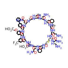 CC(C)C[C@H]1NC(=O)[C@H](C)N(C)C(=O)[C@H](CCC(N)=O)NC(=O)[C@H](Cc2ccc(-c3ccccc3)cc2)NC(=O)[C@H](Cc2ccc(OCC(=O)O)cc2)NC(=O)[C@H](Cc2cccc(C(F)(F)F)c2)NC(=O)[C@H](CC(=O)O)NC(=O)[C@H](CCC(N)=O)NC(=O)[C@H](CC2CCCCC2)NC(=O)CSC[C@@H](C(=O)N[C@@H](CCN)C(N)=O)NC(=O)[C@H](CCCN)NC(=O)[C@H](C(C)C)NC(=O)[C@H](CC2CCCCC2)NC(=O)[C@H](CCN)NC1=O